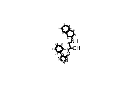 OC(CNC1CCc2ccccc2C1)COc1nnnn1-c1ccccc1